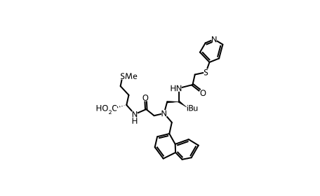 CC[C@H](C)[C@@H](CN(CC(=O)N[C@@H](CCSC)C(=O)O)Cc1cccc2ccccc12)NC(=O)CSc1ccncc1